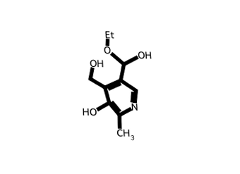 CCOC(O)c1cnc(C)c(O)c1CO